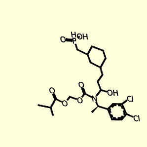 CC(C)C(=O)OCOC(=O)N(C(O)CCC1CCCC(C[PH](=O)O)C1)[C@H](C)c1ccc(Cl)c(Cl)c1